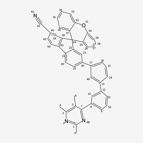 Cc1nc(C)c(C)c(-c2cccc(-c3cccc(-c4ccc5c(c4)C4(c6ccccc6Oc6ccccc64)c4cc(C#N)ccc4-5)c3)c2)n1